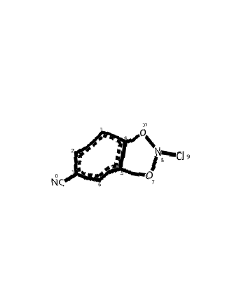 N#Cc1ccc2c(c1)ON(Cl)O2